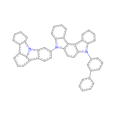 c1ccc(-c2cccc(-n3c4ccccc4c4c5c6ccccc6n(-c6ccc7c8cccc9c%10ccccc%10n(c7c6)c98)c5ccc43)c2)cc1